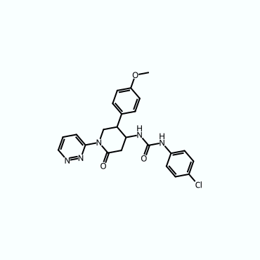 COc1ccc(C2CN(c3cccnn3)C(=O)CC2NC(=O)Nc2ccc(Cl)cc2)cc1